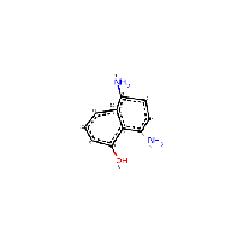 N.Nc1cccc2c(O)cccc12